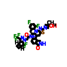 CC1(O)CN(c2nc3nc([C@H](Cc4cc(F)cc(F)c4)NC(=O)Cn4nc(C(F)(F)F)c5c4C(F)(F)[C@@H]4CC[C@H]54)c(-c4cccc5c4CNC5=O)cc3s2)C1